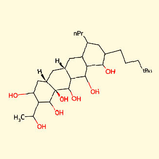 CCCC1CC(CCCC(C)(C)C)C(O)C2C(O)C3C(O)[C@]4(O)C(O)C(C(C)O)C(O)C[C@@H]4C[C@@H]3CC12